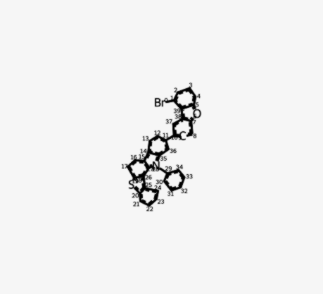 Brc1cccc2oc3ccc(-c4ccc5c6ccc7sc8ccccc8c7c6n(-c6ccccc6)c5c4)cc3c12